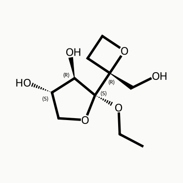 CCO[C@]1([C@]2(CO)CCO2)OC[C@H](O)[C@H]1O